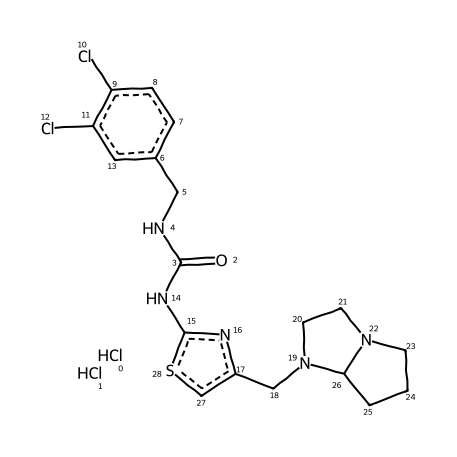 Cl.Cl.O=C(NCc1ccc(Cl)c(Cl)c1)Nc1nc(CN2CCN3CCCC32)cs1